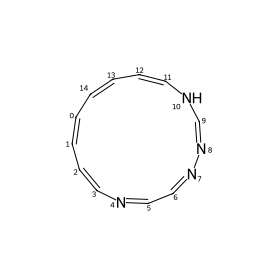 C1=CC=CN=CC=NN=CNC=CC=C1